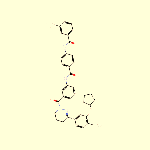 COc1ccc(C2=NN(C(=O)c3cccc(NC(=O)c4ccc(NC(=O)c5cccc([N+](=O)[O-])c5)cc4)c3)CCC2)cc1OC1CCCC1